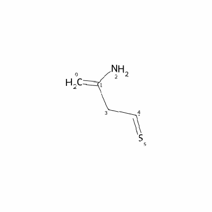 C=C(N)C[C]=S